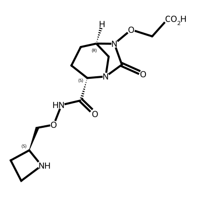 O=C(O)CON1C(=O)N2C[C@H]1CC[C@H]2C(=O)NOC[C@@H]1CCN1